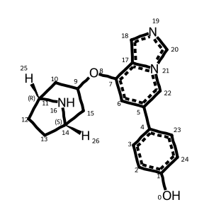 Oc1ccc(-c2cc(OC3C[C@H]4CC[C@@H](C3)N4)c3cncn3c2)cc1